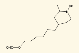 CC(=O)N1CCC(CCCCCCOC=O)CC1C